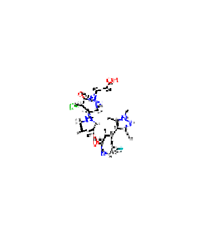 Cc1nn(C)c(C)c1-c1cc(O[C@@H]2CCN(c3cnn(CCO)c(=O)c3Cl)C2)ncc1F